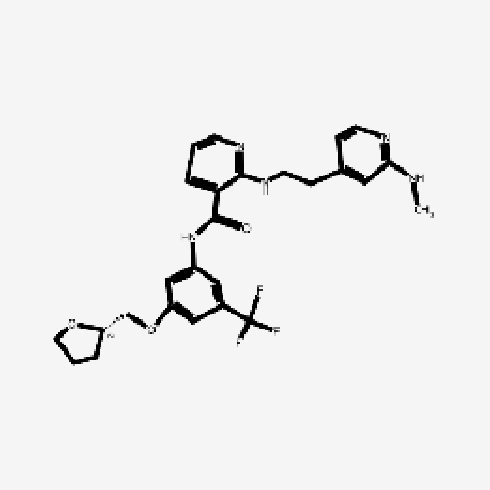 CNc1cc(CCNc2ncccc2C(=O)Nc2cc(OC[C@@H]3CCCO3)cc(C(F)(F)F)c2)ccn1